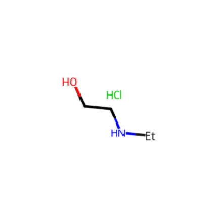 CCNCCO.Cl